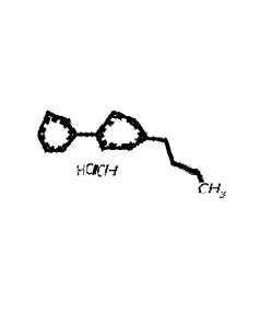 C#C.CCCCc1ccc(-c2ccccc2)cc1